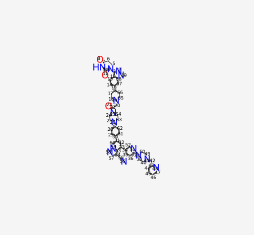 Cn1nc(N2CCC(=O)NC2=O)c2ccc(C3CCN(CC(=O)N4CCN(c5ccc(-c6cc(-c7ccc(N8CCN(Cc9ccccn9)CC8)nc7)c7c(C#N)cnn7c6)cc5)CC4)CC3)cc21